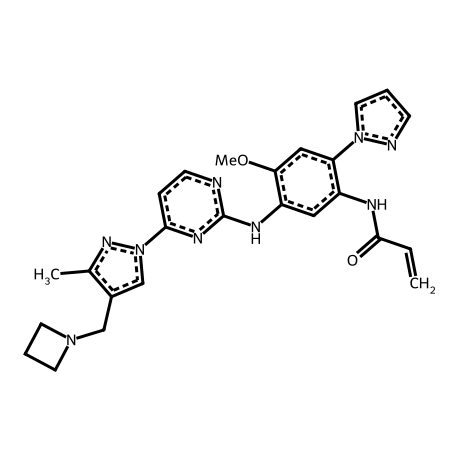 C=CC(=O)Nc1cc(Nc2nccc(-n3cc(CN4CCC4)c(C)n3)n2)c(OC)cc1-n1cccn1